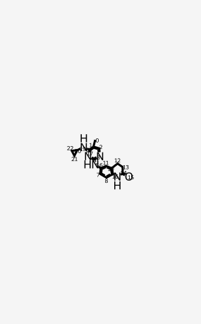 Cc1cnc(Nc2ccc3c(c2)CCC(=O)N3)nc1NC1CC1